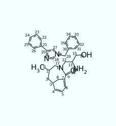 CC1CC2C=CC=C(C2)C(=O)N(CC(N)CO)[C@H]1c1nc(-c2ccccc2)cn1Cc1ccccc1